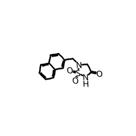 O=C1CN(Cc2ccc3ccccc3c2)S(=O)(=O)N1